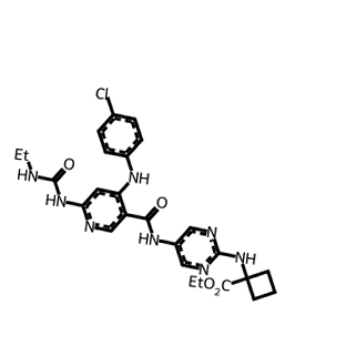 CCNC(=O)Nc1cc(Nc2ccc(Cl)cc2)c(C(=O)Nc2cnc(NC3(C(=O)OCC)CCC3)nc2)cn1